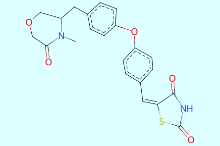 CN1C(=O)COCC1Cc1ccc(Oc2ccc(/C=C3/SC(=O)NC3=O)cc2)cc1